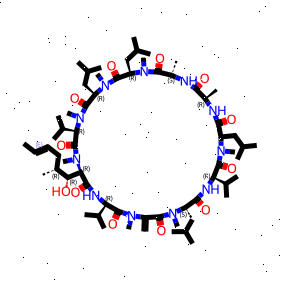 C=C1C(=O)N(C)[C@@H](CC(C)C)C(=O)N[C@H](C(C)C)C(=O)N(C)C(CC(C)C)C(=O)N[C@H](C)C(=O)N[C@@H](C)C(=O)N(C)[C@H](CC(C)C)C(=O)N(C)[C@H](CC(C)C)C(=O)N(C)[C@H](C(C)C)C(=O)N(C)[C@H]([C@H](O)[C@H](C)C/C=C/C)C(=O)N[C@H](C(C)C)C(=O)N1C